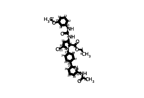 CCOC(=O)c1c(NC(=O)Nc2cccc(OC)c2)cc(Cl)n1-c1ccc(-c2cccc(NC(C)=O)n2)cc1